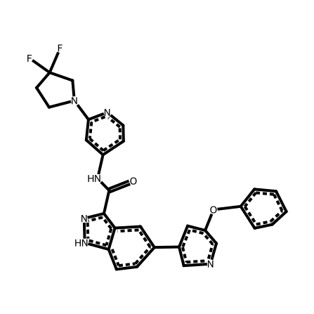 O=C(Nc1ccnc(N2CCC(F)(F)C2)c1)c1n[nH]c2ccc(-c3cncc(Oc4ccccc4)c3)cc12